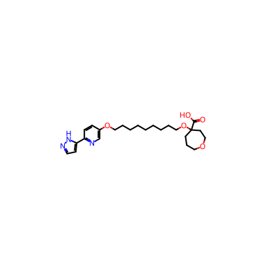 O=C(O)C1(OCCCCCCCCCOc2ccc(-c3ccn[nH]3)nc2)CCCOCC1